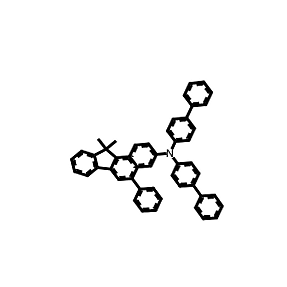 CC1(C)c2ccccc2-c2cc(-c3ccccc3)c3cc(N(c4ccc(-c5ccccc5)cc4)c4ccc(-c5ccccc5)cc4)ccc3c21